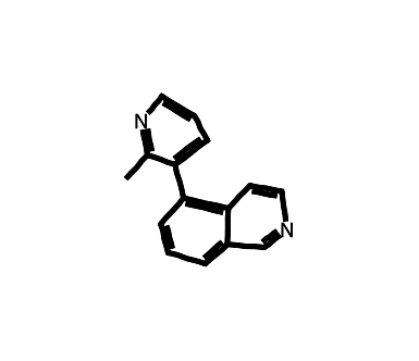 Cc1ncccc1-c1cccc2cnccc12